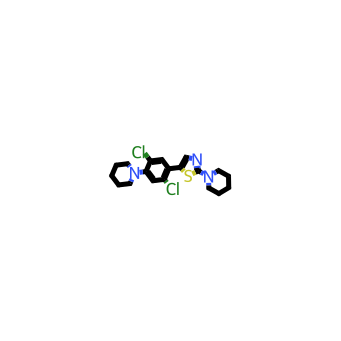 Clc1cc(N2CCCCC2)c(Cl)cc1-c1cnc(N2CCCCC2)s1